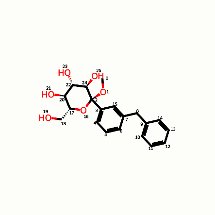 CO[C@@]1(c2cccc(Cc3ccccc3)c2)O[C@H](CO)[C@@H](O)[C@H](O)[C@H]1O